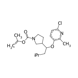 C=C(C)OC(=O)N1CCC(C(CC(C)C)Oc2ccc(Cl)nc2C)C1